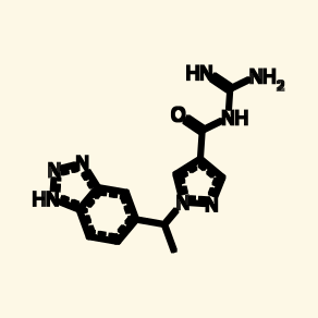 CC(c1ccc2[nH]nnc2c1)n1cc(C(=O)NC(=N)N)cn1